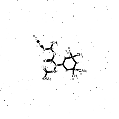 COC(=O)NN(C(=O)OC(C)N=C=O)C1CC(C)(C)CC(C)(OC)C1